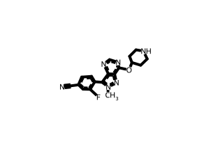 Cn1nc2c(OC3CCNCC3)ncnc2c1-c1ccc(C#N)cc1F